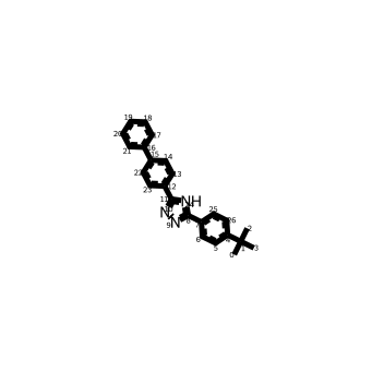 CC(C)(C)c1ccc(-c2nnc(-c3ccc(-c4ccccc4)cc3)[nH]2)cc1